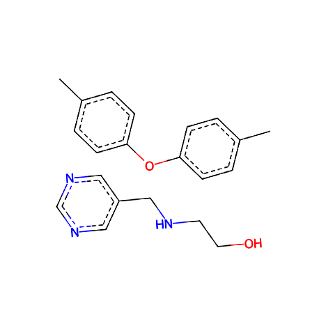 Cc1ccc(Oc2ccc(C)cc2)cc1.OCCNCc1cncnc1